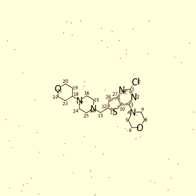 Clc1nc(N2CCOCC2)c2sc(CN3CCN(C4CCOCC4)CC3)cc2n1